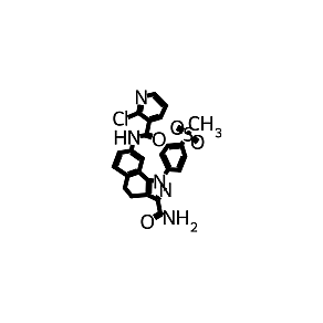 CS(=O)(=O)c1ccc(-n2nc(C(N)=O)c3c2-c2cc(NC(=O)c4cccnc4Cl)ccc2CC3)cc1